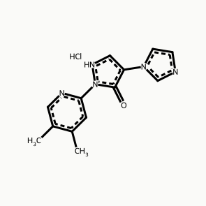 Cc1cnc(-n2[nH]cc(-n3ccnc3)c2=O)cc1C.Cl